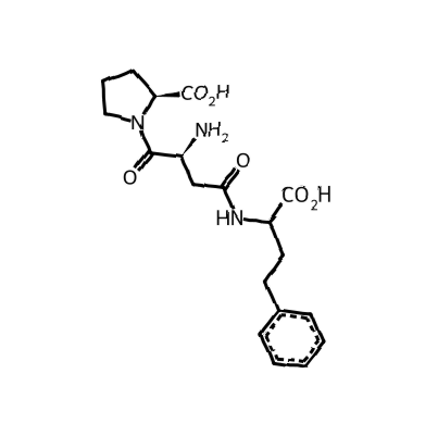 N[C@@H](CC(=O)NC(CCc1ccccc1)C(=O)O)C(=O)N1CCC[C@H]1C(=O)O